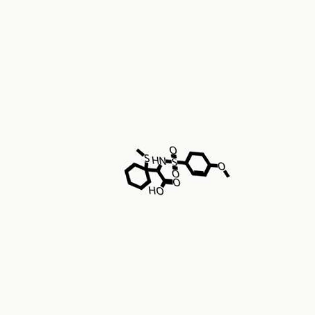 COC1C=CC(S(=O)(=O)NC(C(=O)O)C2(SC)CCCCC2)CC1